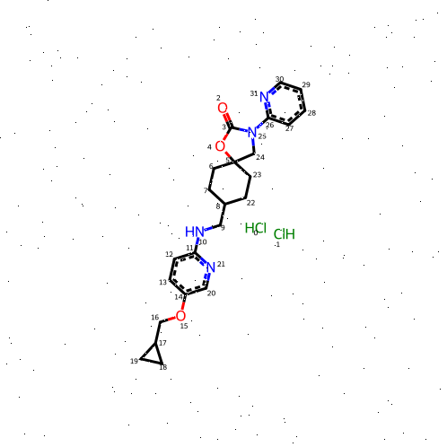 Cl.Cl.O=C1OC2(CCC(CNc3ccc(OCC4CC4)cn3)CC2)CN1c1ccccn1